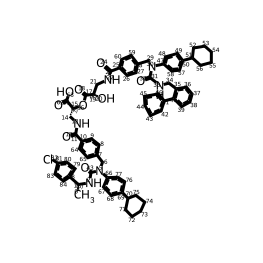 C[C@H](NC(=O)N(Cc1ccc(C(=O)NC[C@@H](OC(=O)[C@H](O)CNC(=O)c2ccc(CN(C(=O)NCc3ccccc3-c3ccccc3)c3ccc(C4CCCCC4)cc3)cc2)C(=O)O)cc1)c1ccc(C2CCCCC2)cc1)c1ccc(Cl)cc1